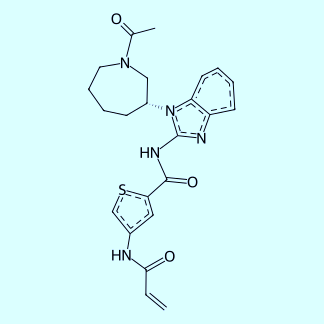 C=CC(=O)Nc1csc(C(=O)Nc2nc3ccccc3n2[C@@H]2CCCCN(C(C)=O)C2)c1